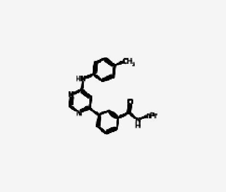 CCCNC(=O)c1cccc(-c2cc(Nc3ccc(C)cc3)ncn2)c1